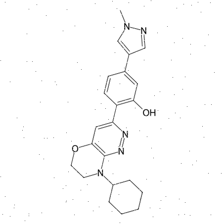 Cn1cc(-c2ccc(-c3cc4c(nn3)N(C3CCCCC3)CCO4)c(O)c2)cn1